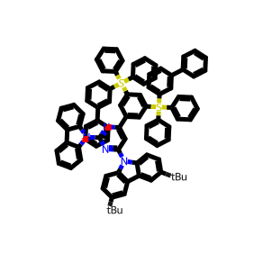 CC(C)(C)c1ccc2c(c1)c1cc(C(C)(C)C)ccc1n2-c1cc(-c2cc(S(c3ccccc3)(c3ccccc3)c3cccc(-c4ccccc4)c3)cc(S(c3ccccc3)(c3ccccc3)c3cccc(-c4ccccc4)c3)c2)nc(-n2c3ccccc3c3ccccc32)n1